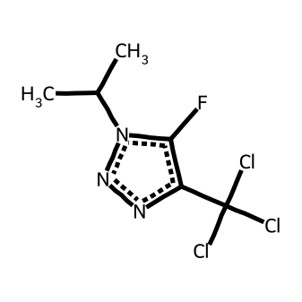 CC(C)n1nnc(C(Cl)(Cl)Cl)c1F